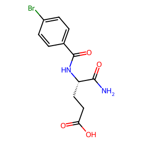 NC(=O)[C@H](CCC(=O)O)NC(=O)c1ccc(Br)cc1